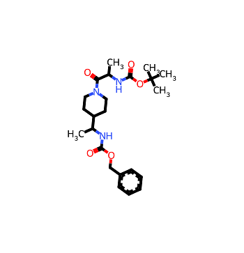 CC(NC(=O)OC(C)(C)C)C(=O)N1CCC(C(C)NC(=O)OCc2ccccc2)CC1